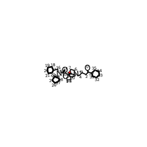 O=C(CCC[N+]12CCC(CC1)[C@@H](OC(=O)N(Cc1ccccc1)c1ccccc1)C2)c1ccccc1